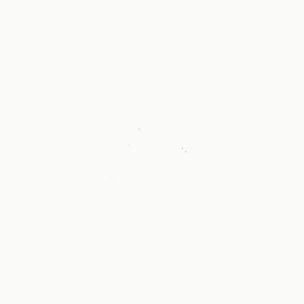 O=C(O)N1CC(Oc2cc(F)c3c(c2)CC(CO)C3)C1